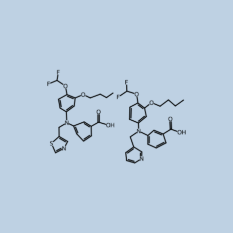 CCCCOc1cc(N(Cc2cccnc2)c2cccc(C(=O)O)c2)ccc1OC(F)F.CCCCOc1cc(N(Cc2cncs2)c2cccc(C(=O)O)c2)ccc1OC(F)F